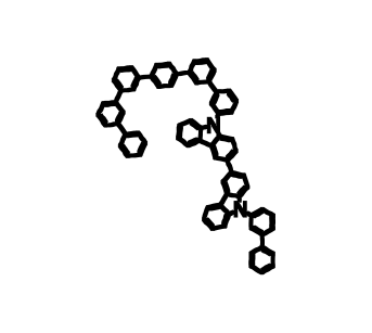 c1ccc(-c2cccc(-c3cccc(-c4ccc(-c5cccc(-c6cccc(-n7c8ccccc8c8cc(-c9ccc%10c(c9)c9ccccc9n%10-c9cccc(-c%10ccccc%10)c9)ccc87)c6)c5)cc4)c3)c2)cc1